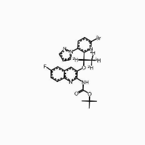 [2H]C([2H])([2H])C([2H])(Oc1cc2cc(F)ccc2nc1NC(=O)OC(C)(C)C)c1nc(Br)ccc1-n1cccn1